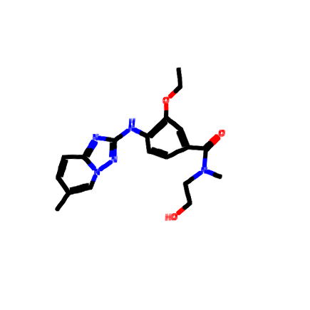 CCOc1cc(C(=O)N(C)CCO)ccc1Nc1nc2ccc(C)cn2n1